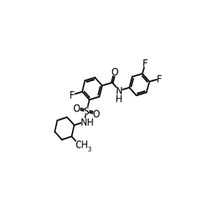 CC1CCCCC1NS(=O)(=O)c1cc(C(=O)Nc2ccc(F)c(F)c2)ccc1F